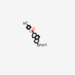 CCCCCC1CCc2c(ccc3c2CCC(C(=O)Oc2ccc(C#N)cc2)C3)C1